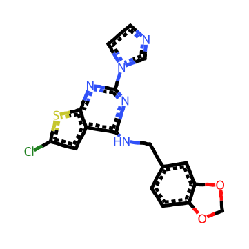 Clc1cc2c(NCc3ccc4c(c3)OCO4)nc(-n3ccnc3)nc2s1